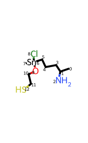 CC(N)CC[CH2][Sn]([CH3])([Cl])[O]CCS